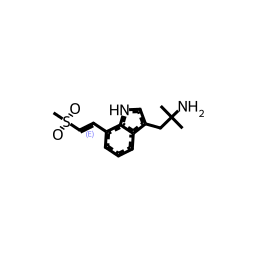 CC(C)(N)Cc1c[nH]c2c(/C=C/S(C)(=O)=O)cccc12